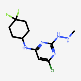 CNNc1nc(Cl)cc(NC2CCC(F)(F)CC2)n1